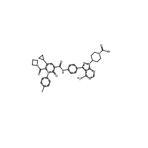 CC(C)C(=O)N1CCC(n2nc(-c3ccc(NC(=O)c4cc(C5CC5)c(C(=O)N5CCC5)n(-c5ccc(F)cc5)c4=O)cc3)c3c(N)ncnc32)CC1